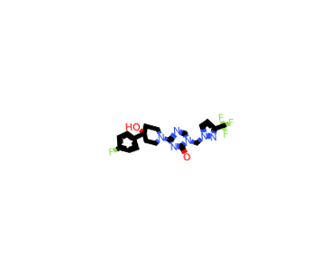 O=c1nc(N2CCC(O)(c3ccc(F)cc3)CC2)ncn1Cn1ccc(C(F)(F)F)n1